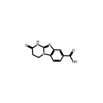 CCCC(=O)c1ccc2c(c1)nc1n2CCC(=O)N1